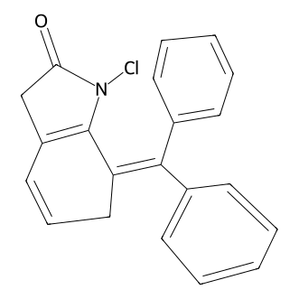 O=C1CC2=C(C(=C(c3ccccc3)c3ccccc3)CC=C2)N1Cl